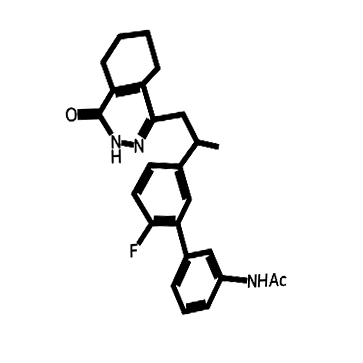 CC(=O)Nc1cccc(-c2cc(C(C)Cc3n[nH]c(=O)c4c3CCCC4)ccc2F)c1